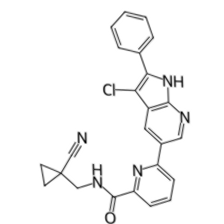 N#CC1(CNC(=O)c2cccc(-c3cnc4[nH]c(-c5ccccc5)c(Cl)c4c3)n2)CC1